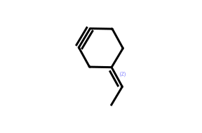 C/C=C1\CC#CCC1